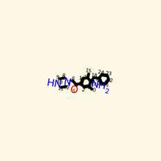 CC1=CC(C(=O)CN2CCNCC2)=CC(C)C1(N)Cc1ccccc1